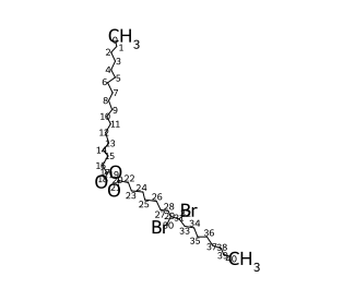 CCCCCCCCCCCCCCCCCC(=O)OC(=O)CCCCCCCC(Br)C(Br)CCCCCCCC